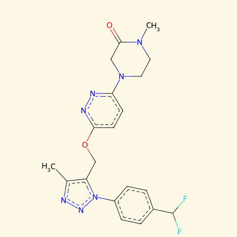 Cc1nnn(-c2ccc(C(F)F)cc2)c1COc1ccc(N2CCN(C)C(=O)C2)nn1